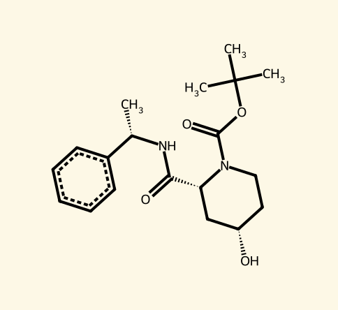 C[C@H](NC(=O)[C@H]1C[C@@H](O)CCN1C(=O)OC(C)(C)C)c1ccccc1